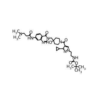 CN(C)CCC(=O)Nc1ccc2c(=O)n(CC3(O)CCN(C(=O)c4cn(CCNC(=O)OC(C)(C)C)nc4C4CC4)CC3)cnc2c1